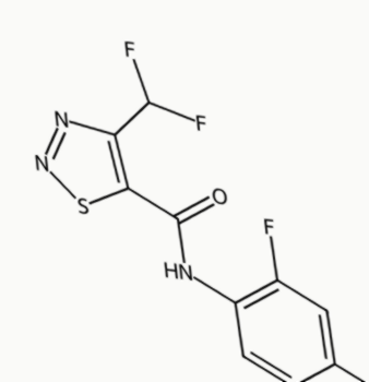 O=C(Nc1ccc(Cl)cc1F)c1snnc1C(F)F